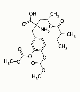 CCC(C)C(=O)O[C@@H](C)CC(N)(Cc1ccc(OC(=O)OC)c(OC(=O)OC)c1)C(=O)O